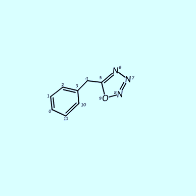 c1ccc(Cc2nnno2)cc1